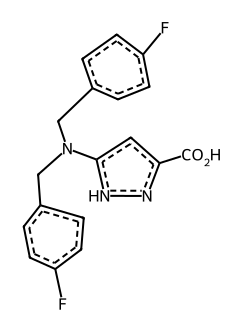 O=C(O)c1cc(N(Cc2ccc(F)cc2)Cc2ccc(F)cc2)[nH]n1